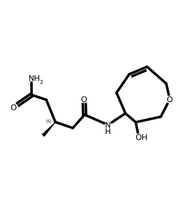 C[C@@H](CC(N)=O)CC(=O)NC1CC=CCOCC1O